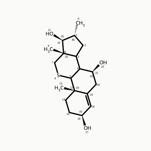 C[C@@H]1CC2C3C(SC[C@]2(C)[C@H]1O)[C@@]1(C)CC[C@H](O)C=C1C[C@@H]3O